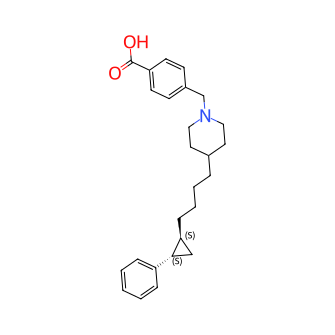 O=C(O)c1ccc(CN2CCC(CCCC[C@H]3C[C@@H]3c3ccccc3)CC2)cc1